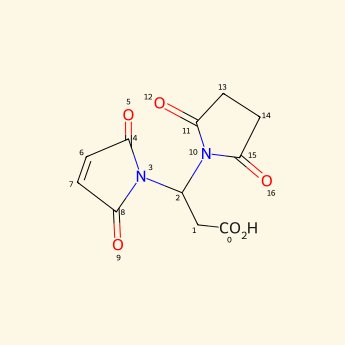 O=C(O)CC(N1C(=O)C=CC1=O)N1C(=O)CCC1=O